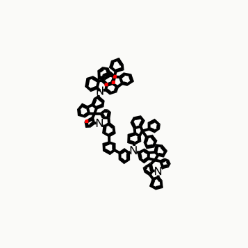 c1ccc(-c2ccccc2N(c2ccc3c(c2)-c2ccccc2C32c3ccccc3-n3c4cc(-c5cccc(-c6cccc(N(c7ccc8c(c7)-c7ccccc7C87c8ccccc8-n8c9ccccc9c9cccc7c98)c7ccc8c(c7)C(c7ccccc7)(c7ccccc7)c7ccccc7-8)c6)c5)ccc4c4cccc2c43)c2ccc3c(c2)C(c2ccccc2)(c2ccccc2)c2ccccc2-3)cc1